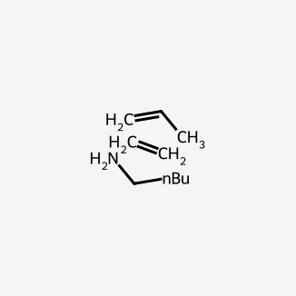 C=C.C=CC.CCCCCN